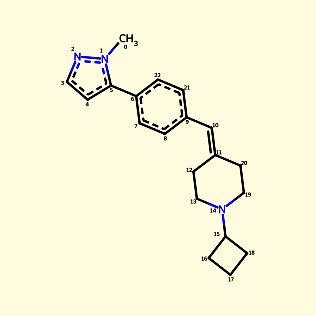 Cn1nccc1-c1ccc(C=C2CCN(C3CCC3)CC2)cc1